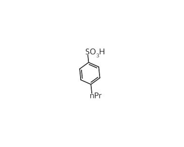 [CH2]CCc1ccc(S(=O)(=O)O)cc1